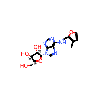 Cc1ccoc1CNc1ncnc2c1ncn2[C@@H]1O[C@H](CO)[C@@H](O)[C@@H]1O